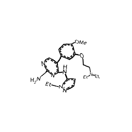 CCN(CC)CCOc1cc(-c2cnc(N)nc2Nc2ccnn2CC)ccc1OC